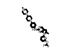 Cc1cc2cnc(Nc3ccc(N4CCC(N5CCN(C)CC5)CC4)cc3)nc2n1-c1cccc(OC(F)F)n1